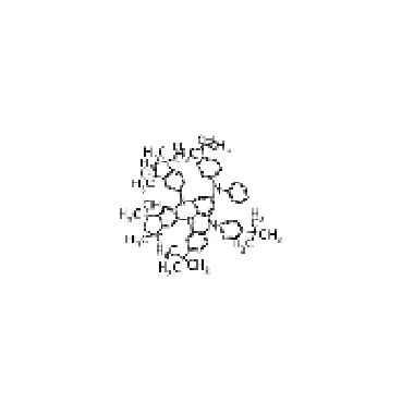 CC(C)(C)c1ccc(N(c2ccccc2)c2cc3c4c(c2)N(c2ccc5c(c2)C(C)(C)CC5(C)C)c2cc5c(cc2B4c2cc(C(C)(C)C)ccc2N3c2ccc(C(C)(C)C)cc2)C(C)(C)CC5(C)C)cc1